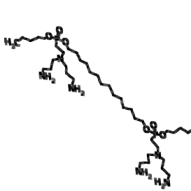 CCCCCOP(=O)(CCN(CCCN)CCCN)OCCCCCCCCCCCCCCOP(=O)(CCN(CCCN)CCCN)OCCCCC